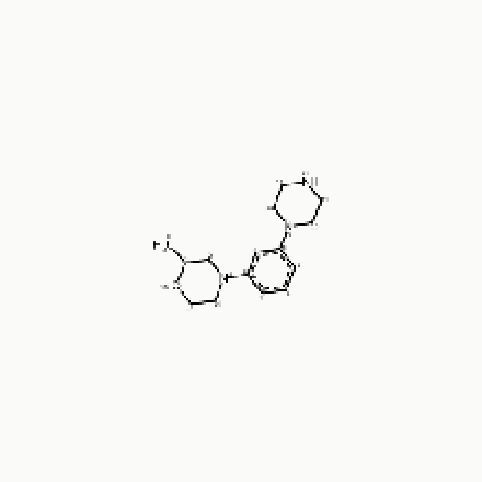 CC1CN(c2cccc(N3CCNCC3)c2)CCO1